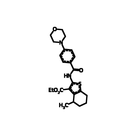 CCOC(=O)c1c(NC(=O)c2ccc(N3CCOCC3)cc2)sc2c1C(C)CCC2